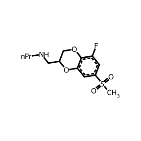 CCCNCC1COc2c(F)cc(S(C)(=O)=O)cc2O1